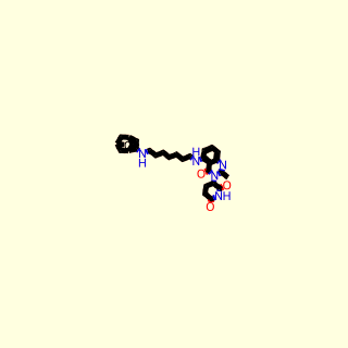 Cc1nc2cccc(NCCCCCCCNC34CC5CC(CC3C5)C4)c2c(=O)n1C1CCC(=O)NC1=O